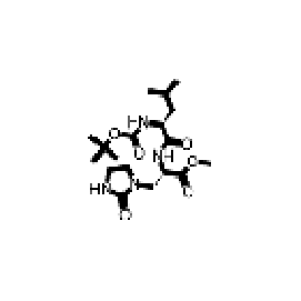 COC(=O)[C@H](CN1CCNC1=O)NC(=O)[C@H](CC(C)C)NC(=O)OC(C)(C)C